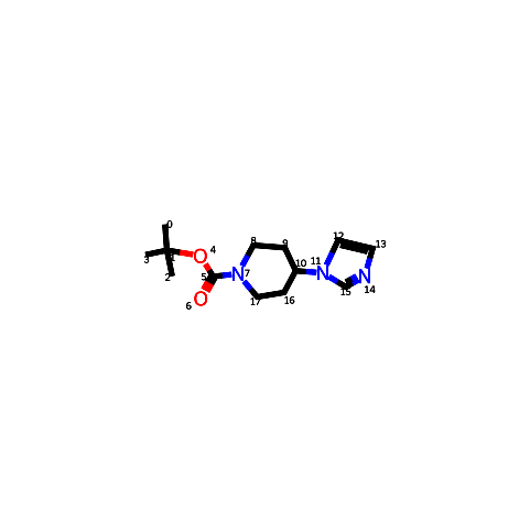 CC(C)(C)OC(=O)N1CCC(n2ccnc2)CC1